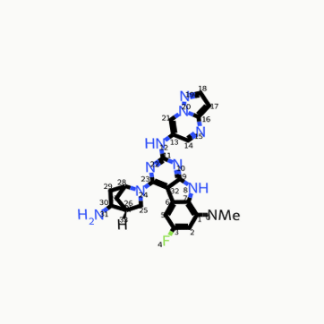 CNc1cc(F)cc2c1[nH]c1nc(Nc3cnc4ccnn4c3)nc(N3C[C@H]4CC3CC4N)c12